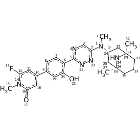 CN(c1cnc(-c2ccc(-c3cc(F)n(C)c(=O)c3)cc2O)nn1)[C@H]1C[C@]2(C)CCC[C@](C)(C1)N2